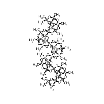 C[Si](C)(C)O[Si](C)(C)O[Si](C)(C)O[Si](C)(C)O[Si](C)(C)O[Si](C)(C)O[Si](C)(C)O[Si](C)(C)O[Si](C)(C)O[Si](C)(C)O[Si](C)(C)O[Si](C)(C)O[Si](C)(C)O[Si](C)(C)O[Si](C)(C)O[Si](C)(C)O[Si](C)(C)O[Si](C)(C)O[Si](C)(C)O[Si](C)(C)O[Si](C)(C)O[Si](C)(C)C